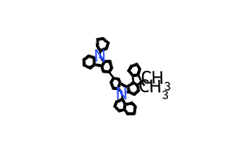 CC1(C)c2ccccc2-c2c1ccc1c2c2cc(-c3ccc4c(c3)c3ccccc3n4-c3ccccc3)ccc2n1-c1cccc2ccccc12